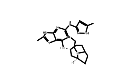 Cc1cc(Nc2nc(N[C@@H]3CCC4CC[C@@H](C3)N4CCC#N)c3nc(C)[nH]c3n2)n[nH]1